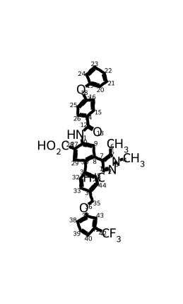 Cc1nn(C)c(C)c1-c1cc(NC(=O)c2ccc(Oc3ccccc3)cc2)c(C(=O)O)cc1-c1ccc(COc2cccc(C(F)(F)F)c2)cc1